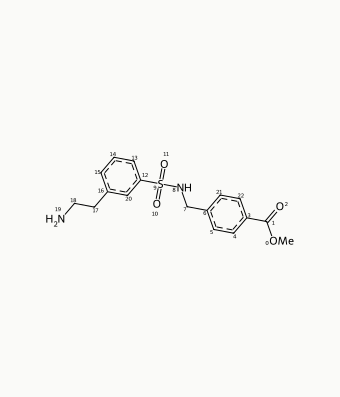 COC(=O)c1ccc(CNS(=O)(=O)c2cccc(CCN)c2)cc1